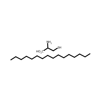 CCCCCCCCCCCCCCCC.NC(CS)C(=O)O